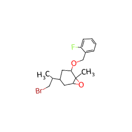 CC(CBr)C1CC(OCc2ccccc2F)C2(C)OC2C1